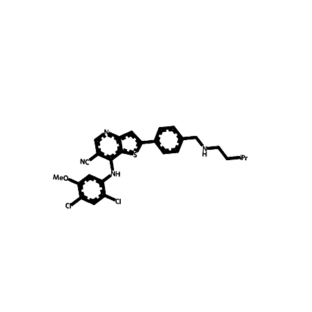 COc1cc(Nc2c(C#N)cnc3cc(-c4ccc(CNCCC(C)C)cc4)sc23)c(Cl)cc1Cl